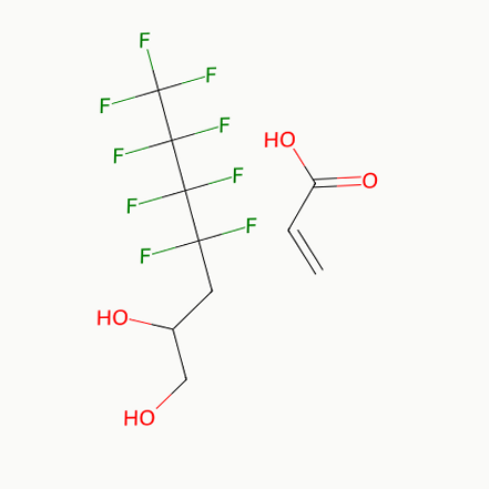 C=CC(=O)O.OCC(O)CC(F)(F)C(F)(F)C(F)(F)C(F)(F)F